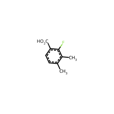 Cc1ccc(C(=O)O)c(F)c1C